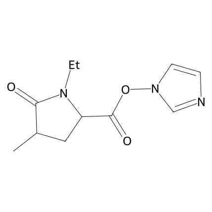 CCN1C(=O)C(C)CC1C(=O)On1ccnc1